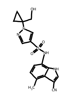 Cc1ccc(NS(=O)(=O)c2cnn(C3(CO)CC3)c2)c2[nH]cc(C#N)c12